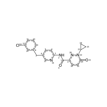 O=C(Nc1ccc(Cc2cccc(Cl)c2)cn1)c1ccc(=O)n(C2CC2)n1